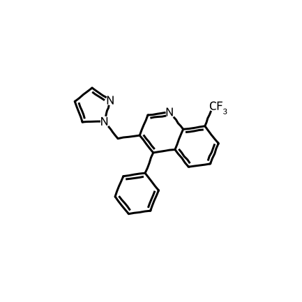 FC(F)(F)c1cccc2c(-c3ccccc3)c(Cn3cccn3)cnc12